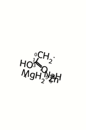 [CH2]C(=O)O.[MgH2].[NaH].[Zn]